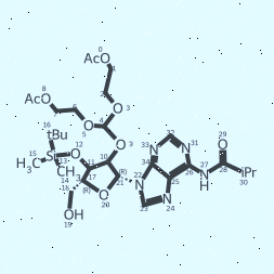 CC(=O)OCCOC(OCCOC(C)=O)OC1C(O[Si](C)(C)C(C)(C)C)[C@@H](CO)O[C@H]1n1cnc2c(NC(=O)C(C)C)ncnc21